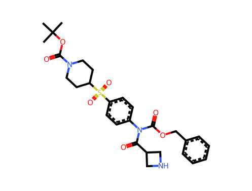 CC(C)(C)OC(=O)N1CCC(S(=O)(=O)c2ccc(N(C(=O)OCc3ccccc3)C(=O)C3CNC3)cc2)CC1